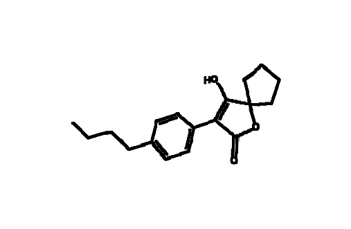 CCCCc1ccc(C2=C(O)C3(CCCC3)OC2=O)cc1